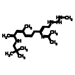 C=C(/C=C(C)\C=C/C/C(=C/CNPNC)N=C(C)C)NCC(C)(C)C